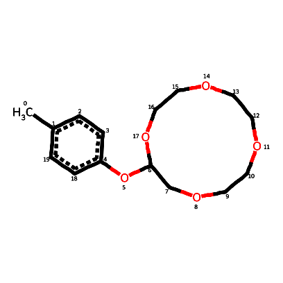 Cc1ccc(OC2COCCOCCOCCO2)cc1